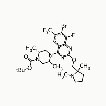 C[C@@H]1CN(c2nc(OC[C@]3(C)CCCN3C)nc3c(F)c(Br)c(C(F)(F)F)cc23)[C@@H](C)CN1C(=O)OC(C)(C)C